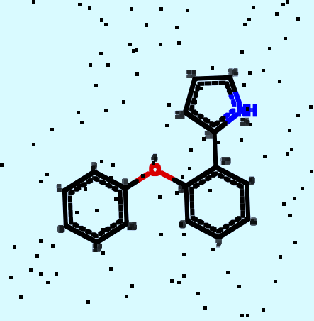 c1ccc(Oc2ccccc2-c2ccc[nH]2)cc1